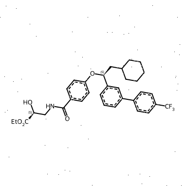 CCOC(=O)[C@@H](O)CNC(=O)c1ccc(O[C@@H](CC2CCCCC2)c2cccc(-c3ccc(C(F)(F)F)cc3)c2)cc1